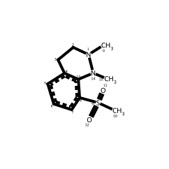 CN1CCc2cccc(S(C)(=O)=O)c2N1C